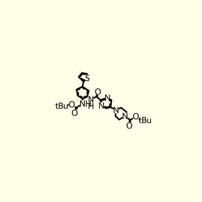 CC(C)(C)OC(=O)Nc1ccc(-c2cccs2)cc1NC(=O)c1ncc(N2CCN(C(=O)OC(C)(C)C)CC2)cn1